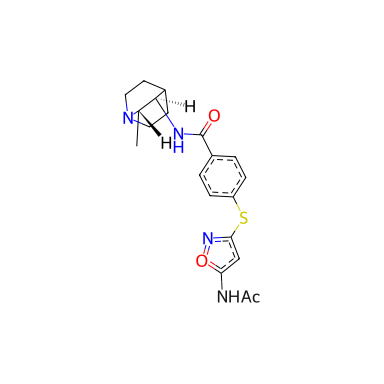 CC(=O)Nc1cc(Sc2ccc(C(=O)N[C@@H]3C4CCN(CC4)[C@H]3C)cc2)no1